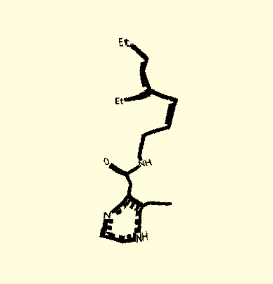 CC/C=C(/C=C\CNC(=O)c1nc[nH]c1C)CC